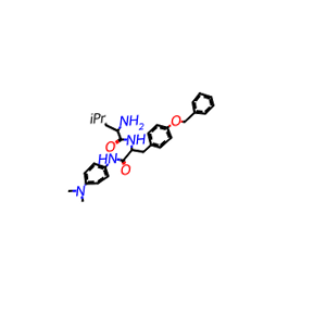 CC(C)CC(N)C(=O)NC(Cc1ccc(OCc2ccccc2)cc1)C(=O)Nc1ccc(N(C)C)cc1